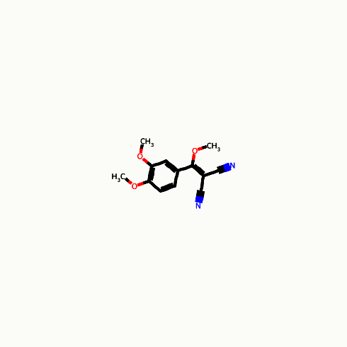 COC(=C(C#N)C#N)c1ccc(OC)c(OC)c1